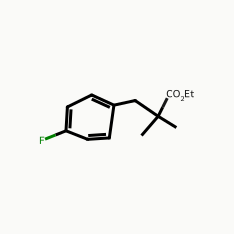 CCOC(=O)C(C)(C)Cc1ccc(F)cc1